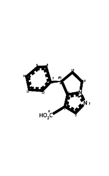 O=C(O)c1cnn2c1[C@@H](c1ccccc1)CC2